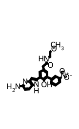 COCCNC(=O)Cc1cc(-c2cccc([N+](=O)[O-])c2)c(O)c(-c2cc3nc(N)ccc3[nH]2)c1